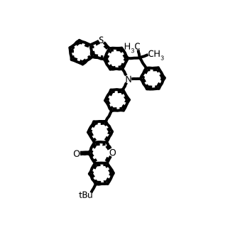 CC(C)(C)c1ccc2oc3cc(-c4ccc(N5c6ccccc6C(C)(C)c6cc7sc8ccccc8c7cc65)cc4)ccc3c(=O)c2c1